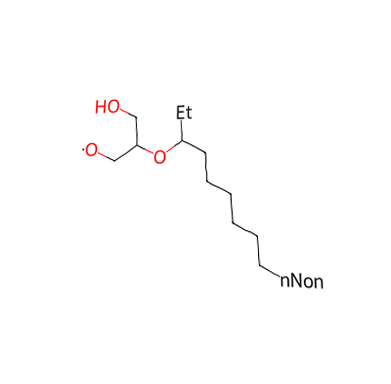 CCCCCCCCCCCCCCCC(CC)OC(C[O])CO